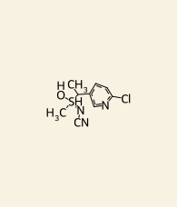 CC(c1ccc(Cl)nc1)[SH](C)(O)=NC#N